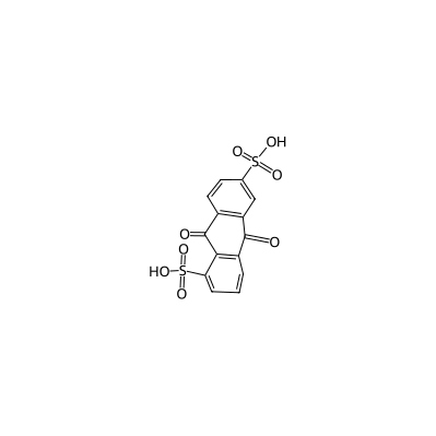 O=C1c2cc(S(=O)(=O)O)ccc2C(=O)c2c1cccc2S(=O)(=O)O